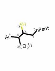 CCCCCCC(S)C(C(C)=O)C(=O)O